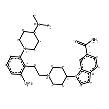 COc1cccc(N2CCC(N(C)C(C)=O)CC2)c1CCN1CCC(n2ccc3ccc(C(N)=O)cc32)CC1